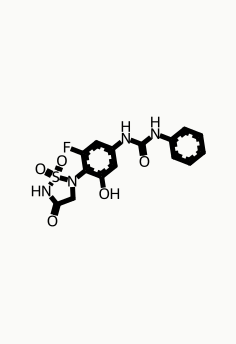 O=C1CN(c2c(O)cc(NC(=O)Nc3ccccc3)cc2F)S(=O)(=O)N1